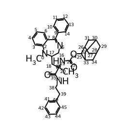 CN1c2ccccc2C(c2ccccc2)=NCC1C[C@](C)(NC(=O)OC1C2CC3CC(C2)CC1C3)C(=O)NCCc1ccccc1